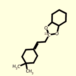 CC1(C)CCC(=CC[13CH]2OC3CCCCC3O2)CC1